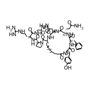 N=C(N)NCCC[C@@H](NC(=O)[C@@H]1CCCN1C(=O)C1CSSCCC(=O)N[C@@H](Cc2ccc(O)cc2)C(=O)N[C@@H](Cc2ccccc2)C(=O)N[C@@H](CCC(N)=O)C(=O)N[C@@H](CC(N)=O)C(=O)N1)C(=O)NCC(N)=O